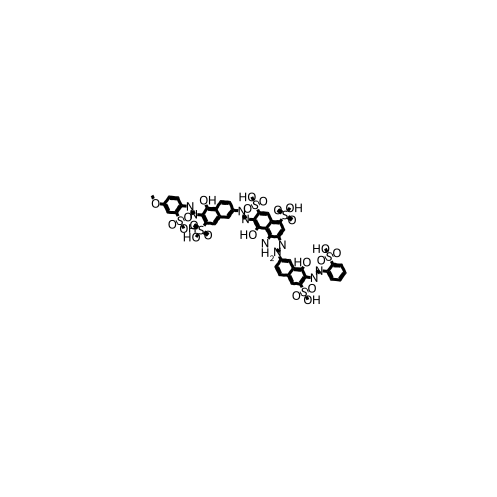 COc1ccc(N=Nc2c(S(=O)(=O)O)cc3cc(N=Nc4c(S(=O)(=O)O)cc5c(S(=O)(=O)O)cc(N=Nc6ccc7cc(S(=O)(=O)O)c(N=Nc8ccccc8S(=O)(=O)O)c(O)c7c6)c(N)c5c4O)ccc3c2O)c(S(=O)(=O)O)c1